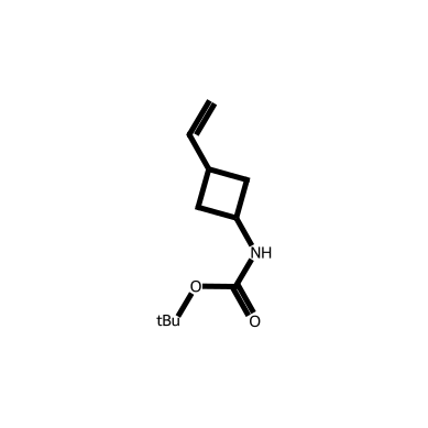 C=CC1CC(NC(=O)OC(C)(C)C)C1